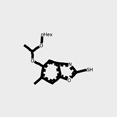 CCCCCCOC(C)Oc1cc2nc(S)oc2cc1C